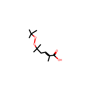 C/C(=C\CC(C)(C)OOC(C)(C)C)C(=O)O